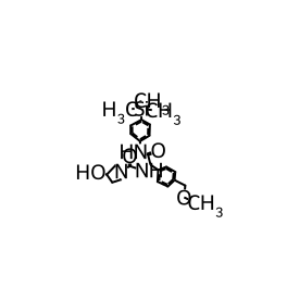 COCc1ccc(C(NC(=O)N2CCC(O)C2)C(=O)Nc2ccc([Si](C)(C)C)cc2)cc1